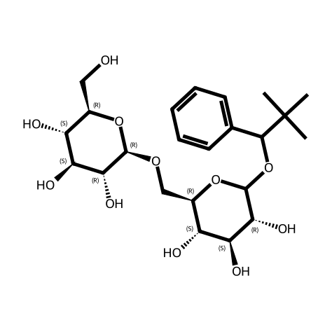 CC(C)(C)C(OC1O[C@H](CO[C@@H]2O[C@H](CO)[C@@H](O)[C@H](O)[C@H]2O)[C@@H](O)[C@H](O)[C@H]1O)c1ccccc1